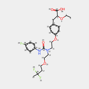 CCOC(Cc1ccc(OCCN(CCOCCC(C)(F)F)C(=O)Nc2ccc(F)cc2)cc1)C(=O)O